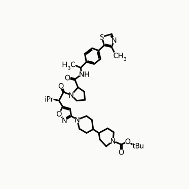 Cc1ncsc1-c1ccc(C(C)NC(=O)C2CCCN2C(=O)C(c2cc(N3CCC(C4CCN(C(=O)OC(C)(C)C)CC4)CC3)no2)C(C)C)cc1